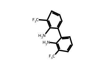 Nc1c(-c2cccc(C(F)(F)F)c2N)cccc1C(F)(F)F